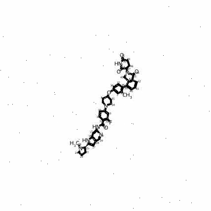 Cc1cc(OC2CCN(c3ccc(C(=O)Nc4cc5[nH]c([C@H]6CCCN6C)cc5cn4)c(F)c3)CC2)ccc1-c1cccc2c1CN(C1CCC(=O)NC1=O)C2=O